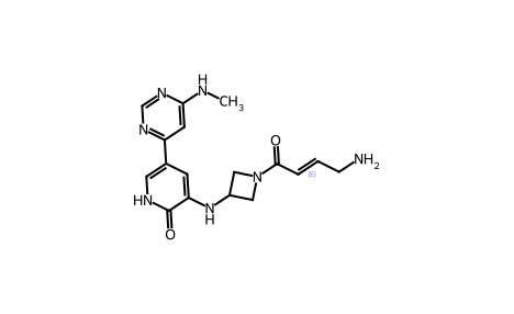 CNc1cc(-c2c[nH]c(=O)c(NC3CN(C(=O)/C=C/CN)C3)c2)ncn1